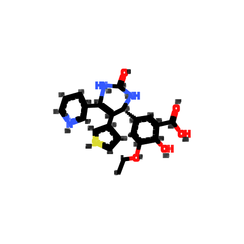 CCOc1cc([C@H]2NC(=O)NC(c3cccnc3)=C2c2ccsc2)cc(C(=O)O)c1O